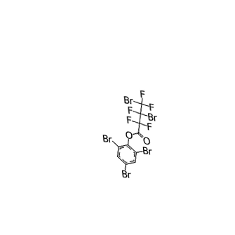 O=C(Oc1c(Br)cc(Br)cc1Br)C(F)(F)C(F)(Br)C(F)(F)Br